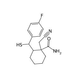 N#CCC1(C(N)=O)CCCCC1C(S)c1ccc(F)cc1